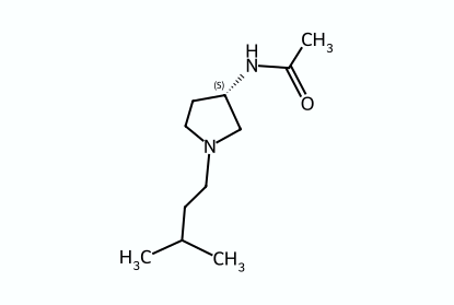 CC(=O)N[C@H]1CCN(CCC(C)C)C1